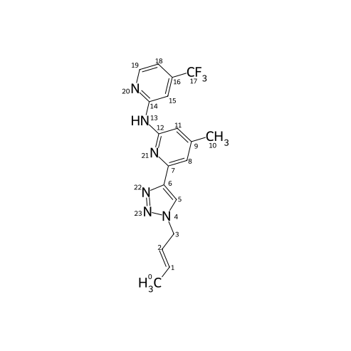 CC=CCn1cc(-c2cc(C)cc(Nc3cc(C(F)(F)F)ccn3)n2)nn1